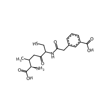 CC(CC(=O)C(CS)NC(=O)Cc1cccc(C(=O)O)c1)[C@@H](N)C(=O)O